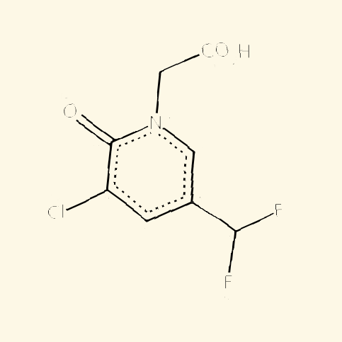 O=C(O)Cn1cc(C(F)F)cc(Cl)c1=O